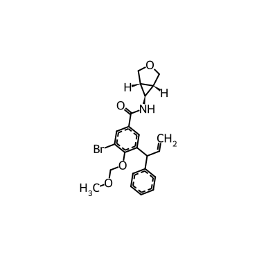 C=CC(c1ccccc1)c1cc(C(=O)N[C@H]2[C@@H]3COC[C@@H]32)cc(Br)c1OCOC